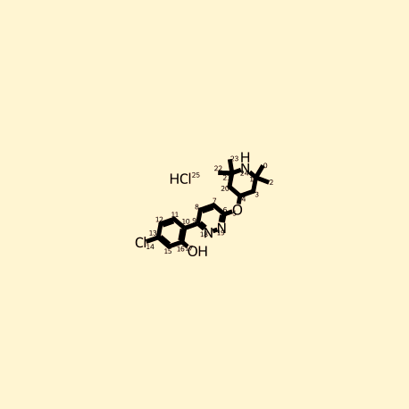 CC1(C)CC(Oc2ccc(-c3ccc(Cl)cc3O)nn2)CC(C)(C)N1.Cl